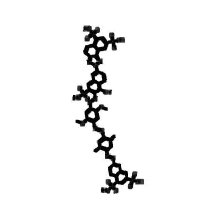 COc1cc(N=Nc2c(S(=O)(=O)O)cc3cc(-n4nc5ccc6c(S(=O)(=O)O)cc(S(=O)(=O)O)cc6c5n4)ccc3c2O)c(OC)cc1N=Nc1cc(C)c(N=Nc2ccc3c(S(=O)(=O)O)cc(S(=O)(=O)O)cc3c2)cc1C